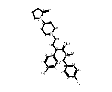 C=C1CCCN1C1CCN(CCC(C(=O)N(C)Cc2ccc(Cl)cc2)c2ccc(F)cc2)CC1